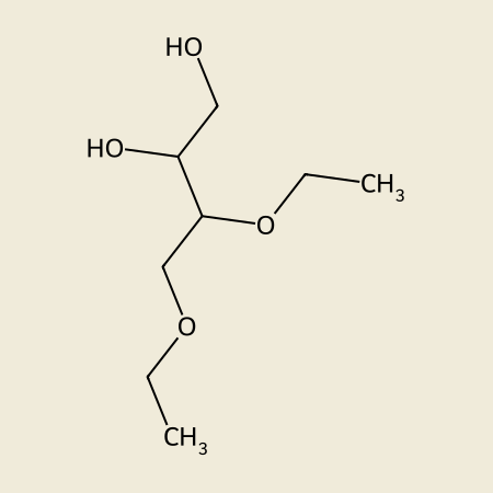 CCOCC(OCC)C(O)CO